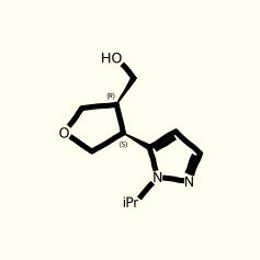 CC(C)n1nccc1[C@H]1COC[C@H]1CO